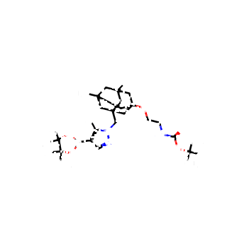 Cc1c(B2OC(C)(C)C(C)(C)O2)cnn1CC12CC3(C)CC(C)(C1)CC(OCCNC(=O)OC(C)(C)C)(C3)C2